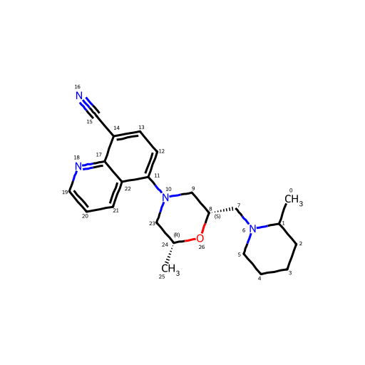 CC1CCCCN1C[C@H]1CN(c2ccc(C#N)c3ncccc23)C[C@@H](C)O1